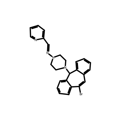 BrC1=Cc2ccccc2C(N2CCN(N=Cc3ccccn3)CC2)c2ccccc21